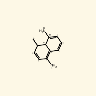 CC1C=CC(N)=C2C=CC=C(N)C21